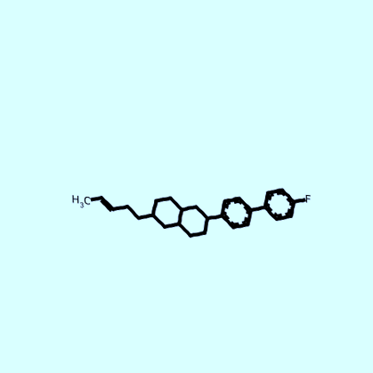 CC=CCCC1CCC2CC(c3ccc(-c4ccc(F)cc4)cc3)CCC2C1